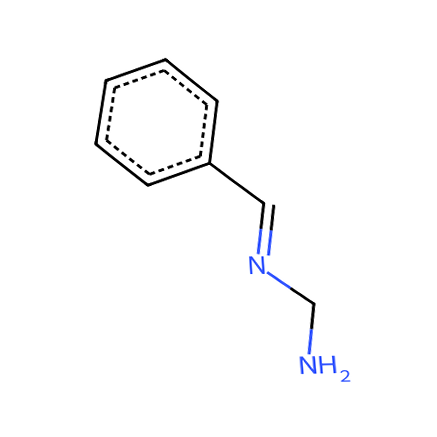 NC/N=C/c1ccccc1